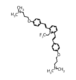 CN(C)CCCOc1ccc(/C=C/c2cccc(/C=C/c3ccc(OCCCN(C)C)cc3)[n+]2CC(F)(F)F)cc1